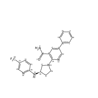 NC(=O)c1cc(-c2ccccc2)cnc1N1CC[C@@H](Nc2ccc(C(F)(F)F)cn2)C1